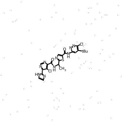 CC(NC(=O)c1ncnc(-c2ncc[nH]2)c1Cl)c1ncc(C(=O)Nc2cc(C(C)(C)C)c(Cl)nn2)s1